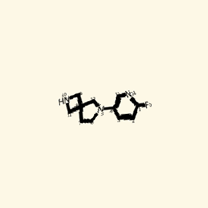 Fc1ccc(N2CCC3(CNC3)C2)cn1